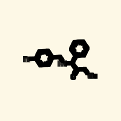 CCc1ccc(CNC(C(=O)CC(C)(C)C)c2ccccc2)cc1